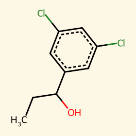 CCC(O)c1cc(Cl)cc(Cl)c1